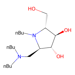 CCCCN(CCCC)C[C@@H]1[C@@H](O)[C@H](O)[C@@H](CO)N1CCCC